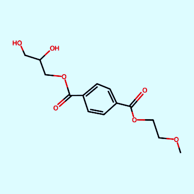 COCCOC(=O)c1ccc(C(=O)OCC(O)CO)cc1